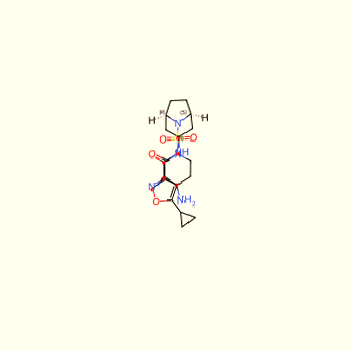 CC1CN(S(=O)(=O)N2[C@@H]3CC[C@H]2C[C@@H](NC(=O)c2cc(C4CC4)on2)C3)CCC1N